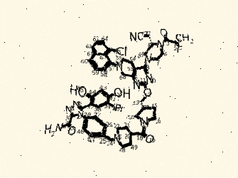 C=C(F)C(=O)N1CCN(c2nc(OC[C@@H]3CCN(C(=O)C4CCN(Cc5ccc(-n6c(C(N)=O)nnc6-c6cc(C(C)C)c(O)cc6O)cc5)CC4)C3)nc3c2CCN(c2cccc4cccc(Cl)c24)C3)C[C@@H]1CC#N